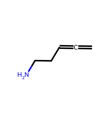 C=C=CCCN